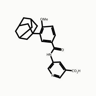 COc1ccc(C(=O)Nc2cncc(C(=O)O)c2)cc1C12CC3CC(CC(C3)C1)C2